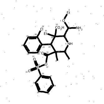 CCOC(N)C1NC(C)C(C)(C(=O)OS(=O)(=O)c2ccccc2)C(c2ccccc2Cl)C1(CC)C(=O)O